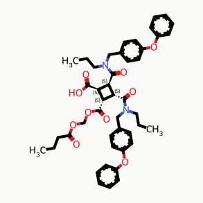 CCCC(=O)OCOC(=O)[C@@H]1[C@@H](C(=O)O)[C@@H](C(=O)N(CCC)Cc2ccc(Oc3ccccc3)cc2)[C@@H]1C(=O)N(CCC)Cc1ccc(Oc2ccccc2)cc1